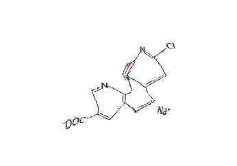 O=C([O-])c1cnc2c(c1)C=CC1=CC(Cl)=NC3=CC=CCC132.[Na+]